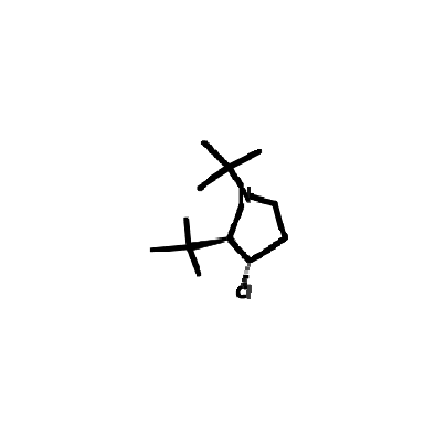 CC(C)(C)[C@@H]1[C@@H](Cl)CCN1C(C)(C)C